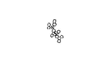 c1ccc([Si](c2ccccc2)(c2ccc(N(c3ccc4ccccc4c3)c3cccc4ccccc34)cc2)c2ccc3c4ccccc4c4ccccc4c3c2)cc1